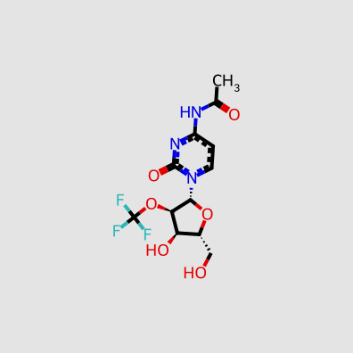 CC(=O)Nc1ccn([C@@H]2O[C@H](CO)[C@@H](O)[C@H]2OC(F)(F)F)c(=O)n1